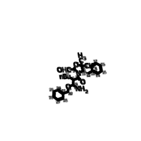 CCCCC(C(=O)N1C(C=O)OC(C)(C)[C@@H]1Cc1ccccc1)C(N)OCc1ccccc1